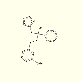 COc1cccc(CCC(C#N)(Cn2cncn2)c2ccccc2)c1